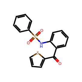 O=C(c1cccs1)c1ccccc1NS(=O)(=O)c1ccccc1